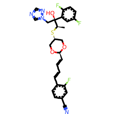 C[C@@H](S[C@H]1CO[C@H](C=CC=Cc2ccc(C#N)cc2F)OC1)[C@](O)(Cn1cncn1)c1cc(F)ccc1F